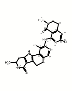 CC1Cc2[nH]c3c(c2C(=O)N1)CCc1cnc(Nc2nc(Cl)nc4c2C(=O)N(C)CC4)c(F)c1-3